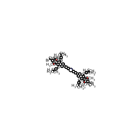 CC(C)c1cc(C(C)Br)cc(C(C)C)c1N1C(=O)c2cc(Oc3ccc(C(C)(C)C)cc3)c3c4c(c(Oc5ccc(C(C)(C)C)cc5)cc(c24)C1=O)C1=CC=C2c4cc5cc6c(cc5cc4C4=CC=C3C1C42)/C=C\c1cc2cc3c(cc2cc1CC6)-c1ccc2c4c(Oc5ccc(C(C)(C)C)cc5)cc5c6c(cc(Oc7ccc(C(C)(C)C)cc7)c(c7ccc-3c1c72)c64)C(=O)N(c1c(C(C)C)cc(C(C)Br)cc1C(C)C)C5=O